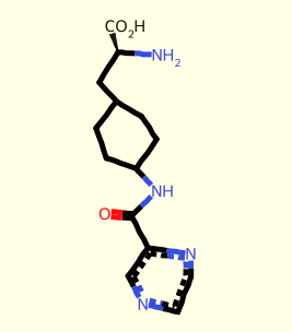 N[C@@H](CC1CCC(NC(=O)c2cnccn2)CC1)C(=O)O